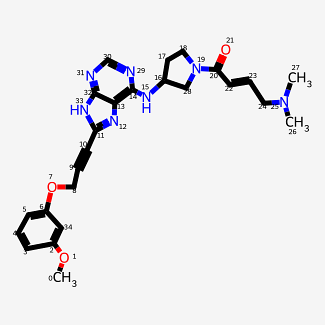 COc1cccc(OCC#Cc2nc3c(NC4CCN(C(=O)C=CCN(C)C)C4)ncnc3[nH]2)c1